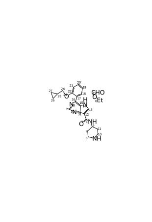 CCOC=O.O=C(NC1CCNCC1)c1c[nH]c2c(-c3ccccc3OCC3CC3)ncnc12